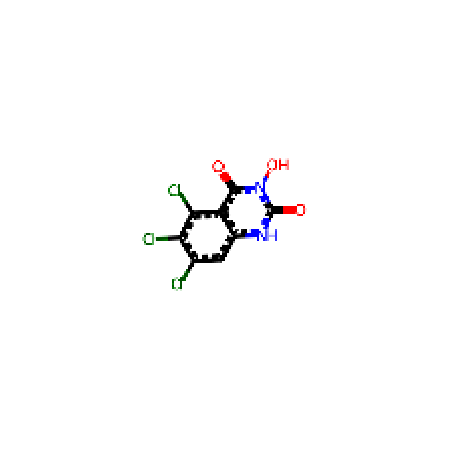 O=c1[nH]c2cc(Cl)c(Cl)c(Cl)c2c(=O)n1O